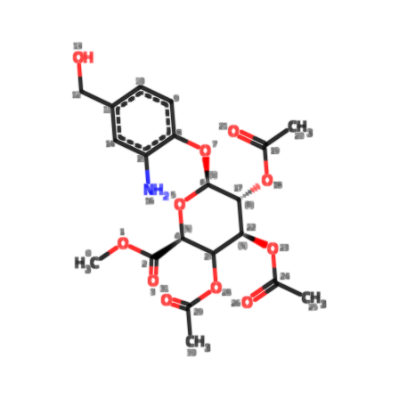 COC(=O)[C@H]1O[C@@H](Oc2ccc(CO)cc2N)[C@H](OC(C)=O)[C@@H](OC(C)=O)C1OC(C)=O